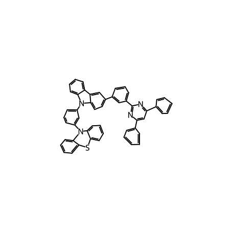 c1ccc(-c2cc(-c3ccccc3)nc(-c3cccc(-c4ccc5c(c4)c4ccccc4n5-c4cccc(N5c6ccccc6Sc6ccccc65)c4)c3)n2)cc1